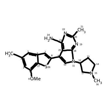 COc1cc(C)cc2cc(-c3cn(C4CCN(C)C4)c4nc(C)nc(N)c34)sc12